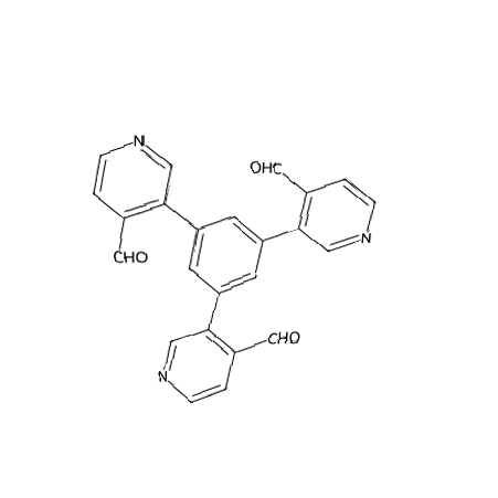 O=Cc1ccncc1-c1cc(-c2cnccc2C=O)cc(-c2cnccc2C=O)c1